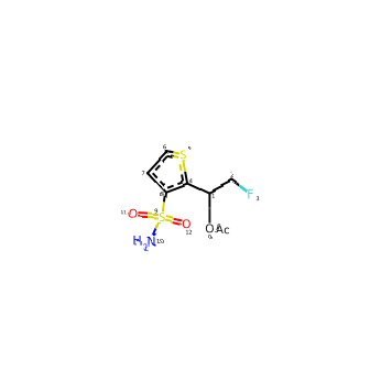 CC(=O)OC(CF)c1sccc1S(N)(=O)=O